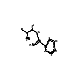 CC(O)C(C)SC(=S)c1ccccc1